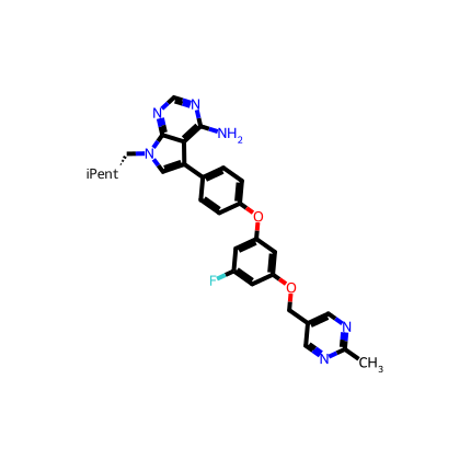 CCC[C@@H](C)Cn1cc(-c2ccc(Oc3cc(F)cc(OCc4cnc(C)nc4)c3)cc2)c2c(N)ncnc21